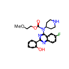 COCCOC(=O)N(c1nc(-c2ccccc2O)nc2ccc(F)cc12)C1CCNCC1